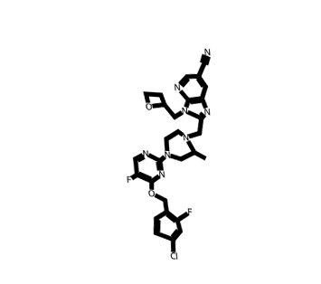 CC1CN(c2ncc(F)c(OCc3ccc(Cl)cc3F)n2)CCN1Cc1nc2cc(C#N)cnc2n1CC1CCO1